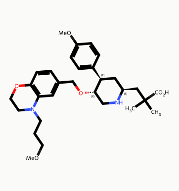 COCCCN1CCOc2ccc(CO[C@H]3CN[C@H](CC(C)(C)C(=O)O)C[C@@H]3c3ccc(OC)cc3)cc21